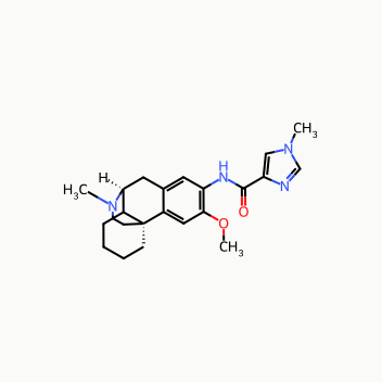 COc1cc2c(cc1NC(=O)c1cn(C)cn1)C[C@H]1C3CCCC[C@@]23CCN1C